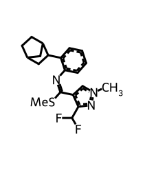 CSC(=Nc1ccccc1C1CC2CCC1C2)c1cn(C)nc1C(F)F